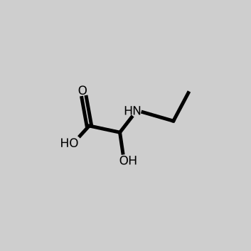 CCNC(O)C(=O)O